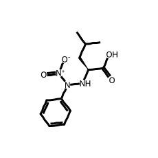 CC(C)C[C@H](NN(c1ccccc1)[N+](=O)[O-])C(=O)O